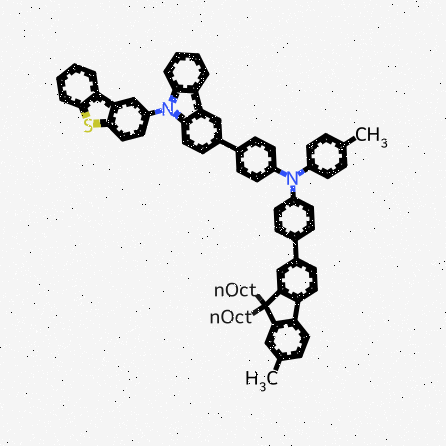 CCCCCCCCC1(CCCCCCCC)c2cc(C)ccc2-c2ccc(-c3ccc(N(c4ccc(C)cc4)c4ccc(-c5ccc6c(c5)c5ccccc5n6-c5ccc6sc7ccccc7c6c5)cc4)cc3)cc21